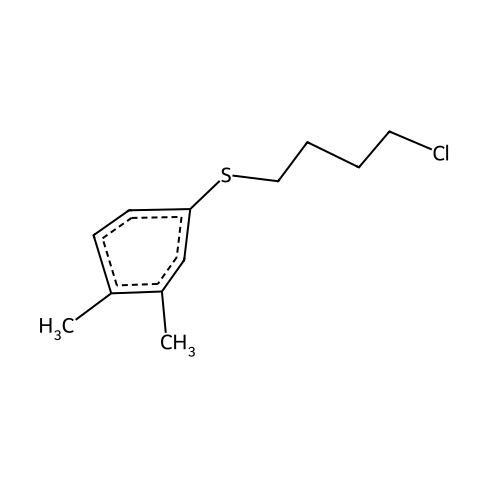 Cc1ccc(SCCCCCl)cc1C